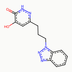 O=c1[nH]nc(CCCn2nnc3ccccc32)cc1O